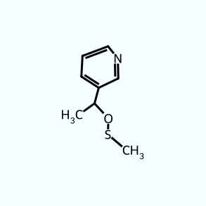 CSOC(C)c1cccnc1